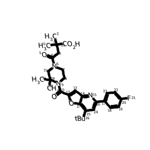 CC(C)(CC(=O)N1CCN(C(=O)c2cc3nc(-c4ccc(F)cc4)cc(C(C)(C)C)c3o2)C(C)(C)C1)C(=O)O